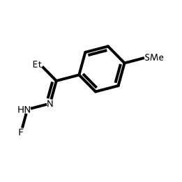 CCC(=NNF)c1ccc(SC)cc1